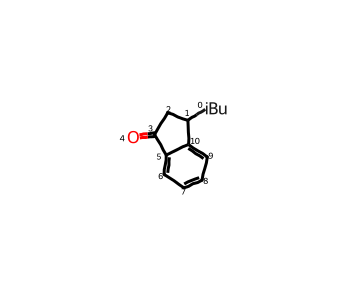 CCC(C)C1CC(=O)c2ccccc21